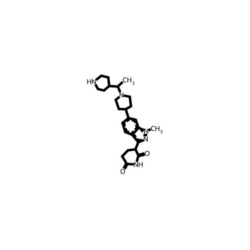 CC(C1CCNCC1)N1CCC(c2ccc3c(C4CCC(=O)NC4=O)nn(C)c3c2)CC1